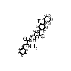 NC(Cc1ccccc1)C(=O)NC[C@H]1CN(c2ccc(N3CCOCC3)c(F)c2)C(=O)O1